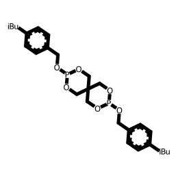 CCC(C)c1ccc(COP2OCC3(CO2)COP(OCc2ccc(C(C)CC)cc2)OC3)cc1